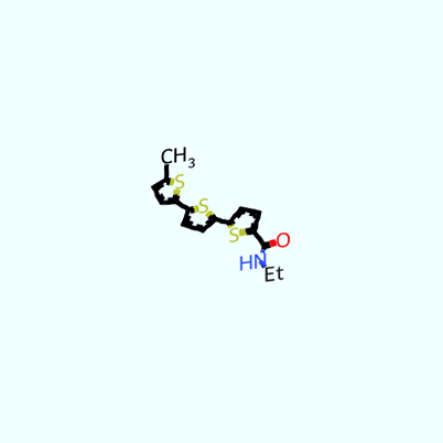 CCNC(=O)c1ccc(-c2ccc(-c3ccc(C)s3)s2)s1